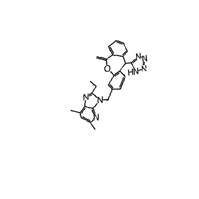 C=C1Oc2cc(Cn3c(CC)nc4c(C)cc(C)nc43)ccc2C(c2nnn[nH]2)c2ccccc21